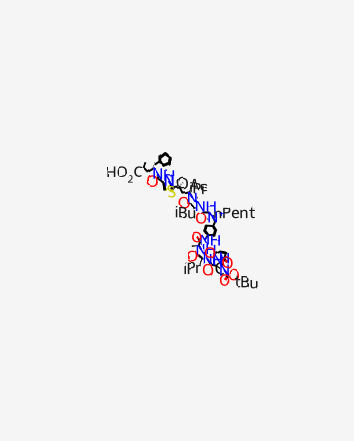 CCCCC[N+](C)(CC(=O)N[C@H](C(=O)N(C)[C@H](C[C@@H](OC(C)=O)c1nc(C(=O)N[C@@H](Cc2ccccc2)C[C@H](C)C(=O)O)cs1)C(C)C)[C@@H](C)CC)Cc1ccc(NC(=O)[C@H](C)NC(=O)[C@@H](NC(=O)[C@H](CNC(=O)OC(C)(C)C)N2C(=O)C=CC2=O)C(C)C)cc1